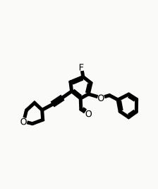 O=Cc1c(C#CC2CCOCC2)cc(F)cc1OCc1ccccc1